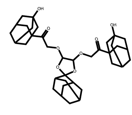 O=C(COC1OC2(OC1OCC(=O)C13CC4CC(CC(O)(C4)C1)C3)C1CC3CC(C1)CC2C3)C12CC3CC(CC(O)(C3)C1)C2